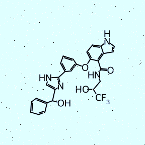 O=C(NCC(O)C(F)(F)F)c1c(Oc2cccc(-c3nc(C(O)c4ccccc4)c[nH]3)c2)ccc2[nH]ccc12